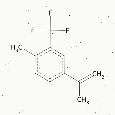 C=C(C)c1ccc(C)c(C(F)(F)F)c1